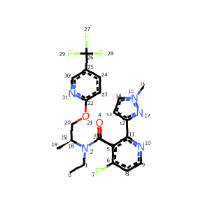 CCN(C(=O)c1c(F)ccnc1-c1ccn(C)n1)[C@@H](C)COc1ccc(C(F)(F)F)cn1